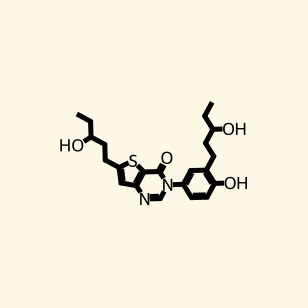 CCC(O)CCc1cc2ncn(-c3ccc(O)c(CCC(O)CC)c3)c(=O)c2s1